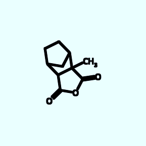 CC12C(=O)OC(=O)C1C1CCC2C1